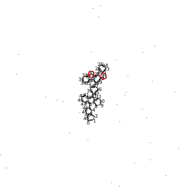 c1ccc2cc(-c3c4ccccc4c(-c4ccc(-c5cc6oc7ccccc7c6c6oc7ccccc7c56)cc4)c4ccccc34)ccc2c1